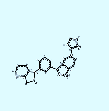 c1cc(-c2n[nH]c3ccc(-c4ncn[nH]4)cc23)cc(C2[N]Cc3ccccc32)c1